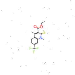 CCOC(=O)c1c(C)c2ccc(C(F)(F)F)cc2n(C)c1=S